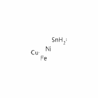 [Cu].[Fe].[Ni].[SnH2]